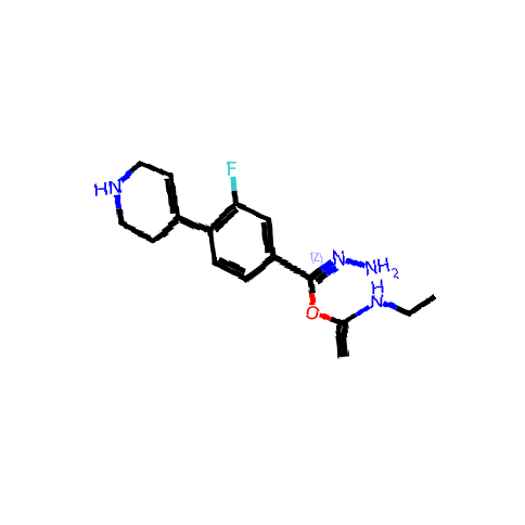 C=C(NCC)O/C(=N\N)c1ccc(C2=CCNCC2)c(F)c1